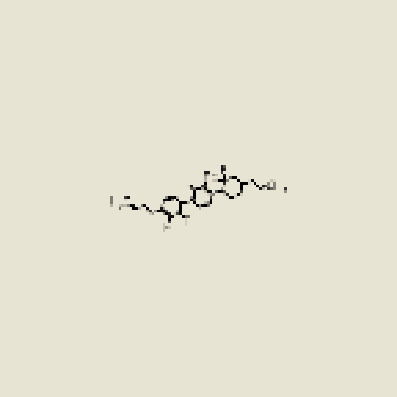 C=CCCc1ccc(-c2ccc(C3CCC(CCC)CC3(F)F)c(F)c2F)c(F)c1F